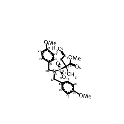 C=CC[C@](C)(C(=O)OC)S(=O)(=O)N(Cc1ccc(OC)cc1)Cc1ccc(OC)cc1